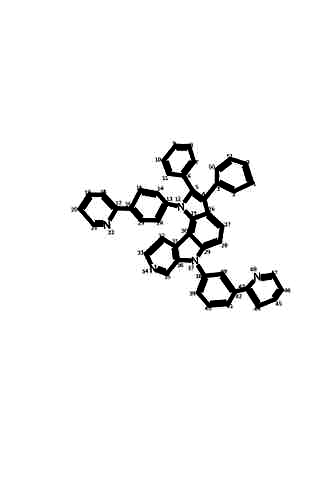 c1ccc(-c2c(-c3ccccc3)n(-c3ccc(-c4ccccn4)cc3)c3c2ccc2c3c3ccncc3n2-c2cccc(-c3ccccn3)c2)cc1